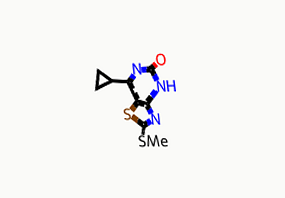 CSc1nc2[nH]c(=O)nc(C3CC3)c2s1